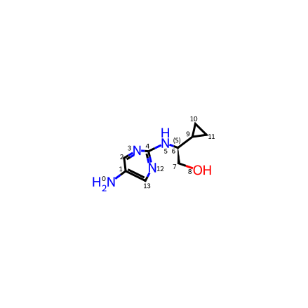 Nc1cnc(N[C@H](CO)C2CC2)nc1